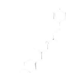 O=C(CNC(=O)OCc1ccccc1)Cc1ccc(F)cc1